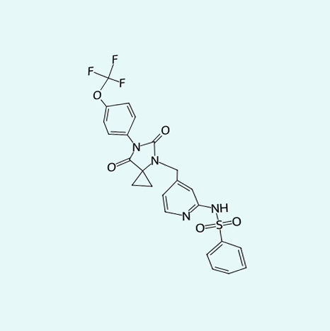 O=C1N(c2ccc(OC(F)(F)F)cc2)C(=O)C2(CC2)N1Cc1ccnc(NS(=O)(=O)c2ccccc2)c1